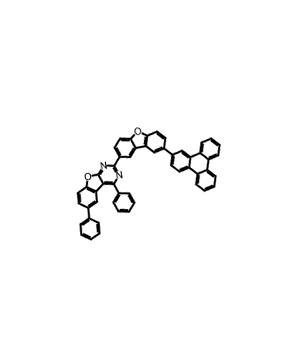 c1ccc(-c2ccc3oc4nc(-c5ccc6oc7ccc(-c8ccc9c%10ccccc%10c%10ccccc%10c9c8)cc7c6c5)nc(-c5ccccc5)c4c3c2)cc1